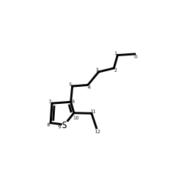 CCCCCCc1ccsc1CC